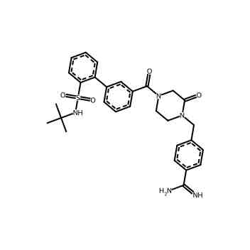 CC(C)(C)NS(=O)(=O)c1ccccc1-c1cccc(C(=O)N2CCN(Cc3ccc(C(=N)N)cc3)C(=O)C2)c1